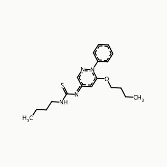 CCCCNC(=S)/N=c1\cnn(-c2ccccc2)c(OCCCC)c1